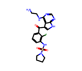 NCCNc1ncnc2[nH]cc(C(=O)c3cccc(NS(=O)(=O)N4CCCC4)c3F)c12